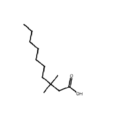 CCCCCCCC(C)(C)CC(=O)O